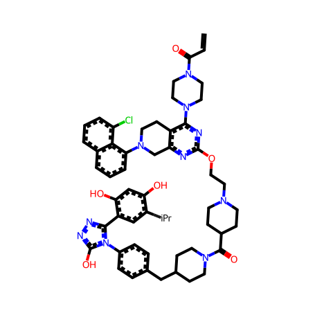 C=CC(=O)N1CCN(c2nc(OCCN3CCC(C(=O)N4CCC(Cc5ccc(-n6c(O)nnc6-c6cc(C(C)C)c(O)cc6O)cc5)CC4)CC3)nc3c2CCN(c2cccc4cccc(Cl)c24)C3)CC1